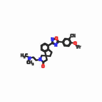 CC(C)Oc1ccc(-c2nc(-c3cccc4c3CCC43CC(=O)N(CCN(C)C)C3)no2)cc1C#N